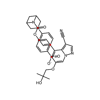 CC(C)(O)COc1cc(-c2ccc(N3CC4CC(C3)N4C(=O)Oc3ccc([N+](=O)[O-])cc3)nc2)c2c(C#N)cnn2c1